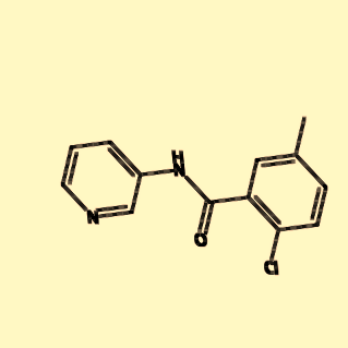 Cc1ccc(Cl)c(C(=O)Nc2cccnc2)c1